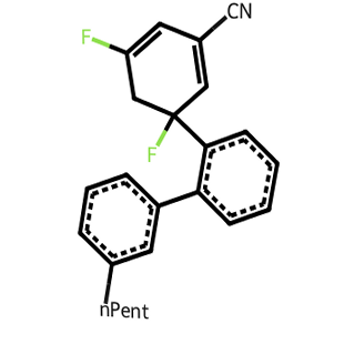 CCCCCc1cccc(-c2ccccc2C2(F)C=C(C#N)C=C(F)C2)c1